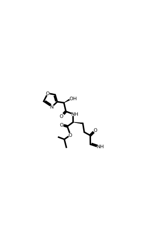 CC(C)OC(=O)[C@H](CCC(=O)C=N)NC(=O)[C@H](O)c1cocn1